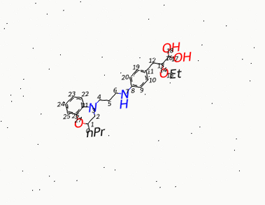 CCCC1CN(CCCNc2ccc(CC(OCC)C(O)O)cc2)c2ccccc2O1